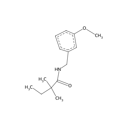 CCC(C)(C)C(=O)NCc1cccc(OC)c1